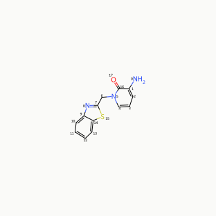 Nc1cccn(Cc2nc3ccccc3s2)c1=O